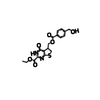 CCOC(=O)c1nc2c(c(=O)[nH]1)C(COC(=O)c1ccc(CO)cc1)CS2